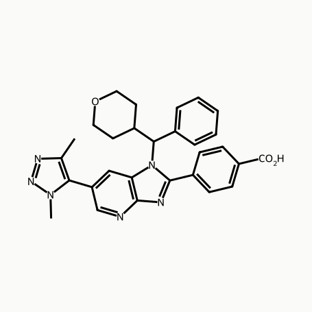 Cc1nnn(C)c1-c1cnc2nc(-c3ccc(C(=O)O)cc3)n(C(c3ccccc3)C3CCOCC3)c2c1